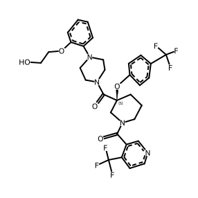 O=C(c1cnccc1C(F)(F)F)N1CCC[C@@](Oc2ccc(C(F)(F)F)cc2)(C(=O)N2CCN(c3ccccc3OCCO)CC2)C1